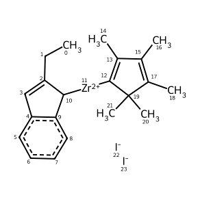 CCC1=Cc2ccccc2[CH]1[Zr+2][C]1=C(C)C(C)=C(C)C1(C)C.[I-].[I-]